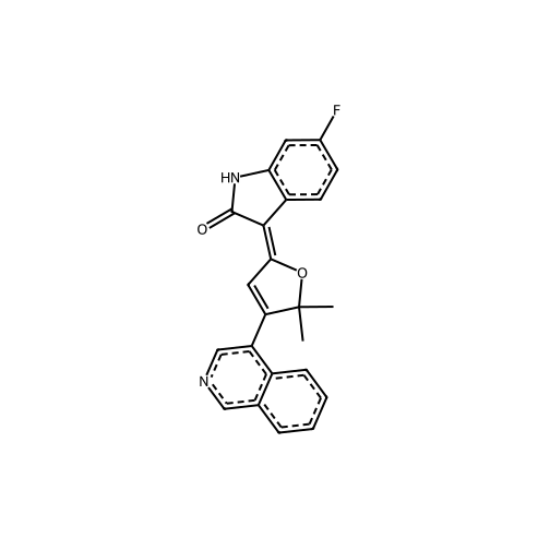 CC1(C)OC(=C2C(=O)Nc3cc(F)ccc32)C=C1c1cncc2ccccc12